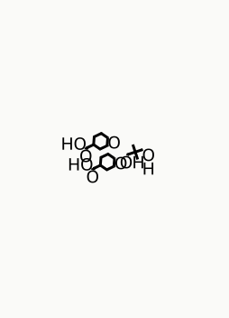 CC(C)(CO)CO.O=C(O)C1CCC2OC2C1.O=C(O)C1CCC2OC2C1